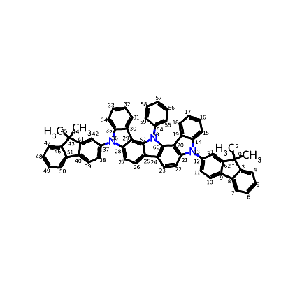 CC1(C)c2ccccc2-c2ccc(-n3c4ccccc4c4c3ccc3c5ccc6c(c7ccccc7n6-c6ccc7c(c6)C(C)(C)c6ccccc6-7)c5n(-c5ccccc5)c34)cc21